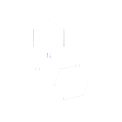 [O-][N+]1(C2COCCO2)CCCCC1